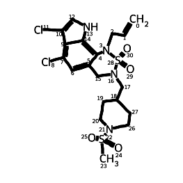 C=CCN1c2c(cc(Cl)c3c(Cl)c[nH]c23)CN(CC2CCN(S(C)(=O)=O)CC2)S1(=O)=O